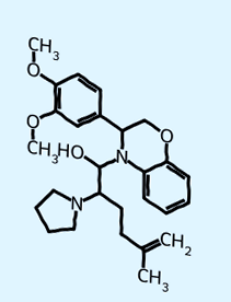 C=C(C)CCC(C(O)N1c2ccccc2OCC1c1ccc(OC)c(OC)c1)N1CCCC1